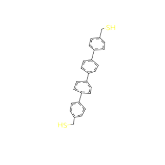 SCc1ccc(-c2ccc(-c3ccc(-c4ccc(CS)cc4)cc3)cc2)cc1